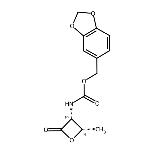 C[C@@H]1OC(=O)[C@@H]1NC(=O)OCc1ccc2c(c1)OCO2